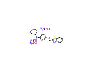 C1=c2c(on2C(c2ccc(OCc3nc4ccccc4s3)cc2)C2CCCCC2)=N1.NO